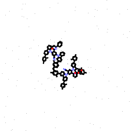 Cc1ccc(-c2ccc3c(c2)c2cc(-c4cc(Cc5ccc(-c6ccc7c8ccccc8n(-c8cc(-c9cccc(-c%10ccccc%10)n9)c(-n9c%10ccccc%10c%10ccc(-c%11ccc(C)cc%11C)cc%109)cc8C#N)c7c6)c(C)c5)c(C)cc4C)ccc2n3-c2cc(-c3cccc(-c4ccccc4)n3)c(-n3c4ccc(-c5ccc(C)cc5C)cc4c4cc(-c5ccc(C)cc5C)ccc43)cc2C#N)c(C)c1